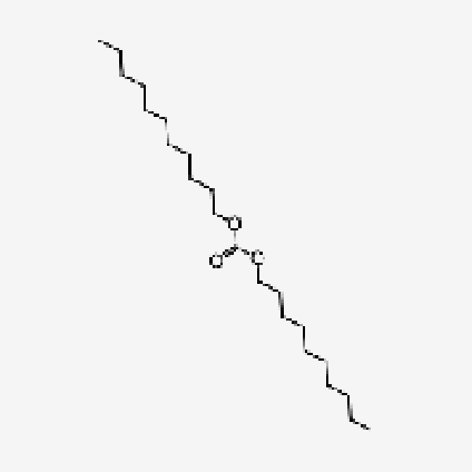 CCCCCCCCCCCOC(=O)OCCCCCCCCCC